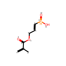 C=C(C)C(=O)OCC=C[PH](=O)O